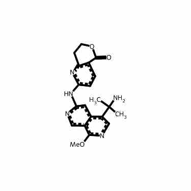 COc1ncc(C(C)(C)N)c2cc(Nc3ccc4c(n3)CCOC4=O)ncc12